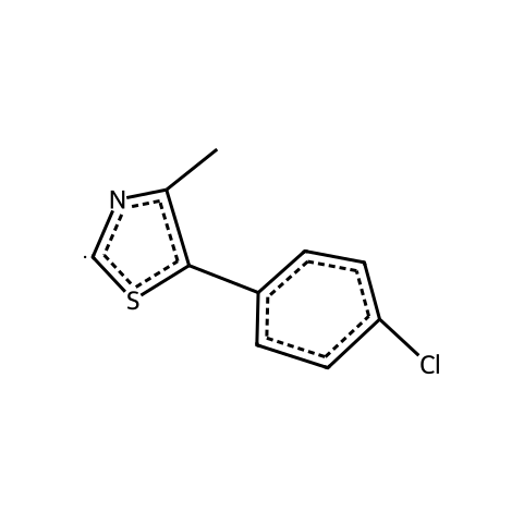 Cc1n[c]sc1-c1ccc(Cl)cc1